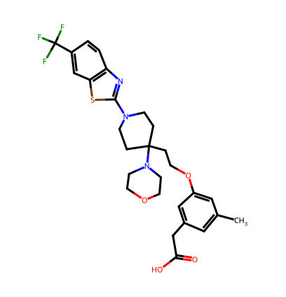 Cc1cc(CC(=O)O)cc(OCCC2(N3CCOCC3)CCN(c3nc4ccc(C(F)(F)F)cc4s3)CC2)c1